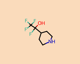 OC(F)(C1CCNCC1)C(F)(F)F